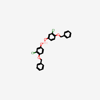 Clc1cc(OBOc2ccc(OCc3ccccc3)c(Cl)c2)ccc1OCc1ccccc1